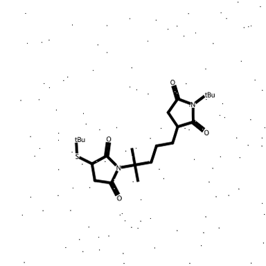 CC(C)(C)SC1CC(=O)N(C(C)(C)CCCC2CC(=O)N(C(C)(C)C)C2=O)C1=O